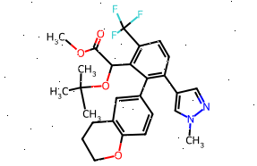 COC(=O)C(OC(C)(C)C)c1c(C(F)(F)F)ccc(-c2cnn(C)c2)c1-c1ccc2c(c1)CCCO2